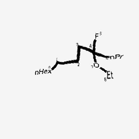 CCCCCCCCCC(F)(CCC)OCC